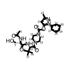 CC(=O)N[C@@H](CO)C(=O)N[C@H](C(=O)N1CCN(C(=O)Oc2cc(C)nn2-c2ccccc2)CC1)C(C)(C)C